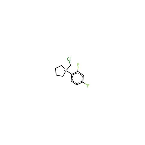 Fc1ccc([Si]2(CCl)CCCC2)c(F)c1